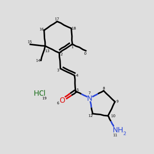 CC1=C(/C=C/C(=O)N2CCC(N)C2)C(C)(C)CCC1.Cl